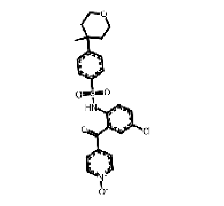 CC1(c2ccc(S(=O)(=O)Nc3ccc(Cl)cc3C(=O)c3cc[n+]([O-])cc3)cc2)CCOCC1